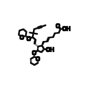 CC#CCC(C)(C)[C@@H](C=C[C@@H]1[C@@H](CC=CCCCC(=O)O)[C@@H](O)C[C@H]1OC1CCCCO1)OC1CCCCO1